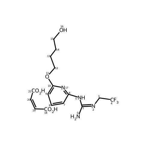 N/C(=N/CC(F)(F)F)Nc1cccc(OCCCCO)n1.O=C(O)/C=C\C(=O)O